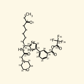 CCC(=O)CCCCC[C@H](NC(=O)CN1CCOCC1)C1=[N+]C=C(c2cccc(C(=O)OC(=O)C(F)(F)F)c2)N1